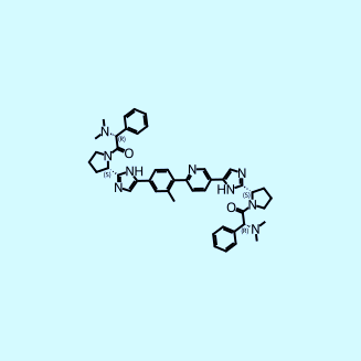 Cc1cc(-c2cnc([C@@H]3CCCN3C(=O)[C@@H](c3ccccc3)N(C)C)[nH]2)ccc1-c1ccc(-c2cnc([C@@H]3CCCN3C(=O)[C@@H](c3ccccc3)N(C)C)[nH]2)cn1